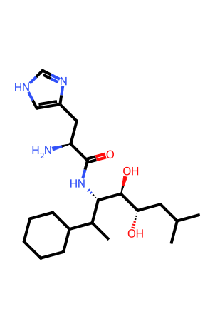 CC(C)C[C@H](O)[C@H](O)[C@@H](NC(=O)[C@@H](N)Cc1c[nH]cn1)C(C)C1CCCCC1